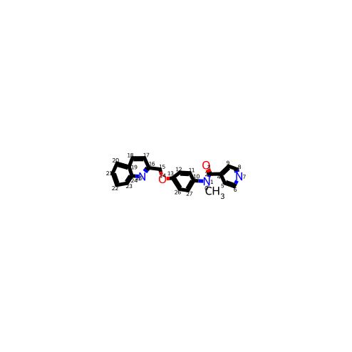 CN(C(=O)c1ccncc1)c1ccc(OCc2ccc3ccccc3n2)cc1